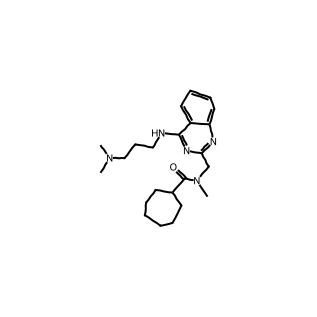 CN(C)CCCNc1nc(CN(C)C(=O)C2CCCCCC2)nc2ccccc12